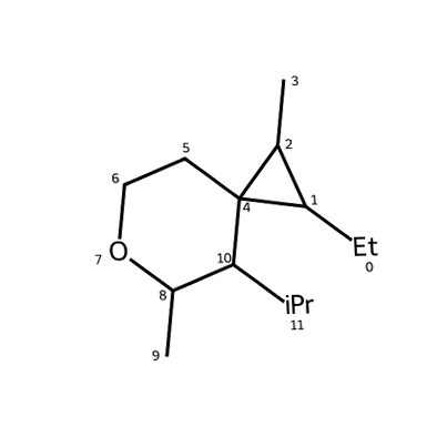 CCC1C(C)C12CCOC(C)C2C(C)C